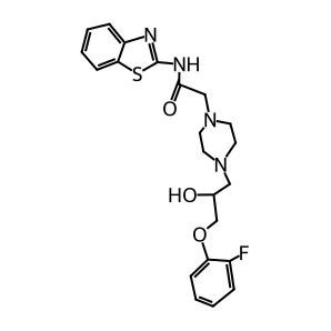 O=C(CN1CCN(CC(O)COc2ccccc2F)CC1)Nc1nc2ccccc2s1